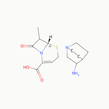 CC1C(=O)N2C(C(=O)O)=CCS[C@@H]12.NC1CN2CCC1CC2